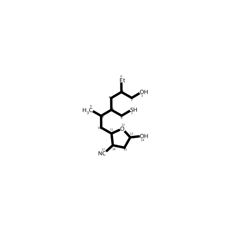 CCC(CO)CC(CS)C(C)CC1OC(O)CC1C#N